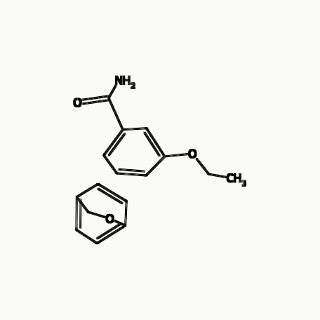 CCOc1cccc(C(N)=O)c1.c1cc2ccc1CO2